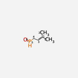 CC(C)=CC[PH]=O